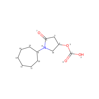 O=C(O)OC1CC(=O)N(C2CCCCCC2)C1